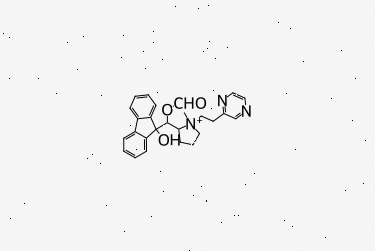 C[N+]1(CCc2cnccn2)CCCC1C(OC=O)C1(O)c2ccccc2-c2ccccc21